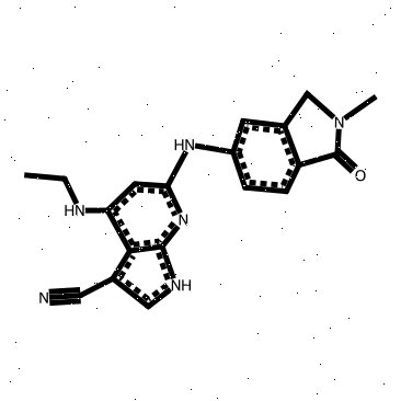 CCNc1cc(Nc2ccc3c(c2)CN(C)C3=O)nc2[nH]cc(C#N)c12